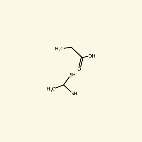 CC(S)S.CCC(=O)O